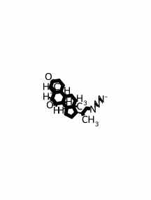 CC(CN=[N+]=[N-])[C@H]1CC[C@H]2[C@@H]3[C@@H]4O[C@@H]4C4=CC(=O)CC[C@]4(C)[C@H]3CC[C@]12C